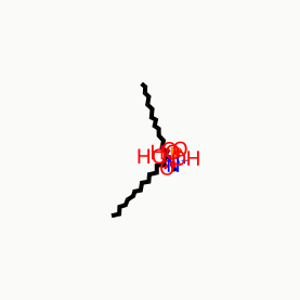 CCCCCCCCCCCCCC(=O)C(O)(C(=O)CCCCCCCCCCCCC)C([N+](C)(C)C)P(=O)(O)O